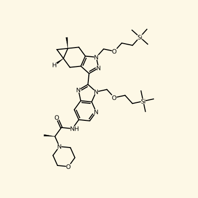 C[C@@H](C(=O)Nc1cnc2c(c1)nc(-c1nn(COCC[Si](C)(C)C)c3c1C[C@@H]1C[C@]1(C)C3)n2COCC[Si](C)(C)C)N1CCOCC1